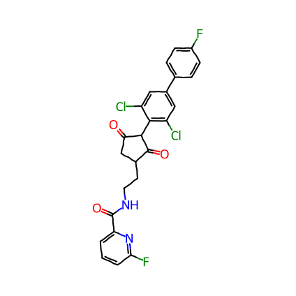 O=C(NCCC1CC(=O)C(c2c(Cl)cc(-c3ccc(F)cc3)cc2Cl)C1=O)c1cccc(F)n1